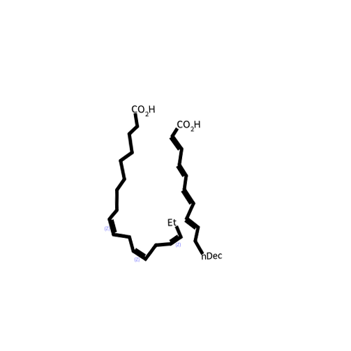 CC/C=C\C/C=C\C/C=C\CCCCCCCC(=O)O.CCCCCCCCCCCC=CC=CC=CC=CC(=O)O